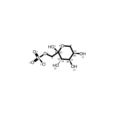 O=S(=O)(Cl)OC[C@]1(O)OC[C@@H](O)[C@@H](O)[C@@H]1O